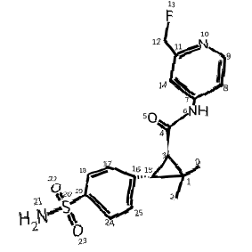 CC1(C)[C@H](C(=O)Nc2ccnc(CF)c2)[C@H]1c1ccc(S(N)(=O)=O)cc1